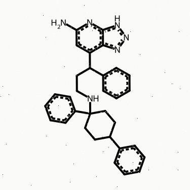 Nc1cc(C(CCNC2(c3ccccc3)CCC(c3ccccc3)CC2)c2ccccc2)c2nn[nH]c2n1